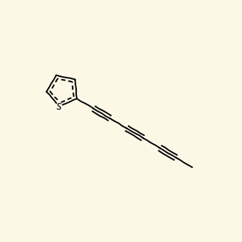 CC#CC#CC#Cc1cccs1